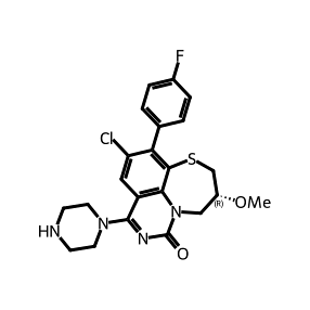 CO[C@H]1CSc2c(-c3ccc(F)cc3)c(Cl)cc3c(N4CCNCC4)nc(=O)n(c23)C1